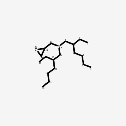 CCCCC(CC)CN(CC(CC)CCCC)CC1CO1